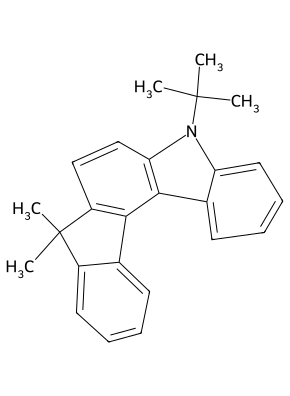 CC1(C)c2ccccc2-c2c1ccc1c2c2ccccc2n1C(C)(C)C